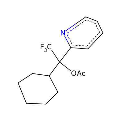 CC(=O)OC(c1ccccn1)(C1CCCCC1)C(F)(F)F